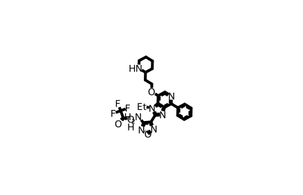 CCn1c(-c2nonc2N)nc2c(-c3ccccc3)ncc(OCCC3CCCCN3)c21.O=C(O)C(F)(F)F